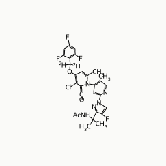 [2H]C([2H])(OC1=C(Cl)C(=C=O)N(c2cc(-n3cc(F)c(C(C)(C)NC(C)=O)n3)ncc2C)C(C)=C1)c1c(F)cc(F)cc1F